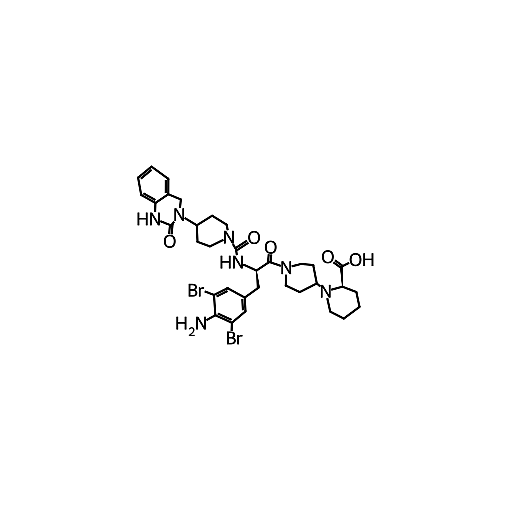 Nc1c(Br)cc(C[C@@H](NC(=O)N2CCC(N3Cc4ccccc4NC3=O)CC2)C(=O)N2CCC(N3CCCC[C@@H]3C(=O)O)CC2)cc1Br